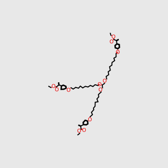 C=C(C(=O)OCC)c1ccc(OCCCCCCCCCCCCOCC(COCCCCCCCCCCCCOc2ccc(C(=C)C(=O)OCC)cc2)OCCCCCCCCCCCCOc2ccc(C(=C)C(=O)OCC)cc2)cc1